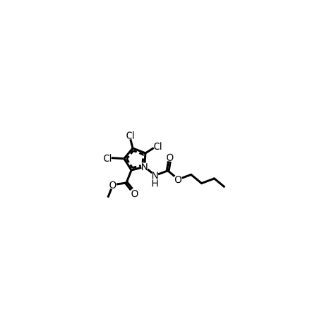 CCCCOC(=O)Nn1c(Cl)c(Cl)c(Cl)c1C(=O)OC